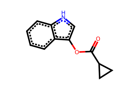 O=C(Oc1c[nH]c2ccccc12)C1CC1